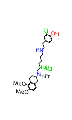 CCCN(CCCCCCNCCc1ccc(O)c(Cl)c1)[C@H]1CCc2c(ccc(OC)c2OC)C1.Cl.Cl